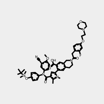 COc1ccc(N(C(=O)c2cc(-c3cc4c(cc3C(=O)O)CN(C(=O)Cc3ccc(OCCN5CCOCC5)cc3F)CC4)n(C)c2C)c2ccc(O[Si](C)(C)C(C)(C)C)cc2)cc1C#N